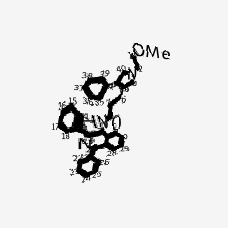 COCCN1C[C@@H](CCC(=O)Nc2c(-c3ccccc3)nc(-c3ccccc3)c3ccccc23)[C@H](c2ccccc2)C1